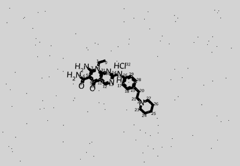 CCn1c(N)c(C(N)=O)c(=O)c2cnc(Nc3ccc(CCN4CCCCC4)cc3)nc21.Cl